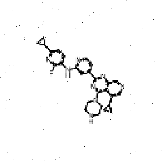 Fc1nc(C2CC2)ccc1Nc1cc(-c2nc(N3CCNCC3)c3c(C4CC4)cncc3n2)ccn1